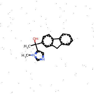 Cn1cncc1C(C)(O)c1ccc2c(c1)Cc1ccccc1-2